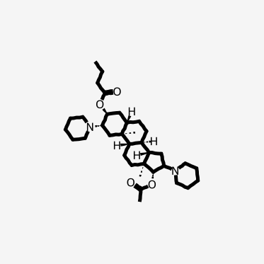 CCCC(=O)O[C@H]1C[C@@H]2CC[C@@H]3[C@H](CC[C@]4(C)[C@@H](OC(C)=O)C(N5CCCCC5)C[C@@H]34)[C@@]2(C)C[C@@H]1N1CCCCC1